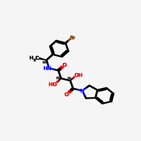 C[C@H](NC(=O)[C@H](O)[C@@H](O)C(=O)N1Cc2ccccc2C1)c1ccc(Br)cc1